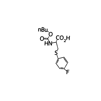 CCCCOC(=O)NC(CSc1ccc(F)cc1)C(=O)O